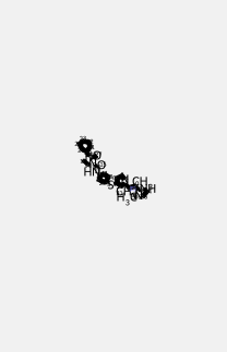 C/C(=C\c1nccc(Sc2ccc(NC(=O)N3CCN(c4ccccc4)C3=O)cc2)c1C)C1NC=CN1C